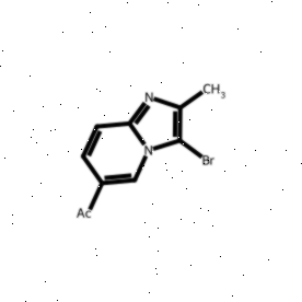 CC(=O)c1ccc2nc(C)c(Br)n2c1